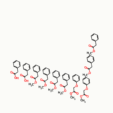 COC(=O)COc1ccccc1.COC(=O)COc1ccccc1.COC(=O)Cc1ccccc1.COC(=O)Cc1ccccc1.COC(=O)Cc1ccccc1.COC(=O)Cc1ccccc1.COC(=O)Cc1ccccc1.COC(=O)Cc1ccccc1.O=C(O)Cc1ccccc1.O=C(O)Cc1ccccc1